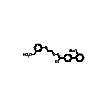 CC/C(=N\OCCOc1cccc(CC(=O)O)c1)c1ccc(-c2ccccc2OC)cc1